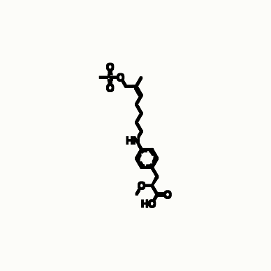 CO[C@@H](Cc1ccc(NCCCCC=C(C)COS(C)(=O)=O)cc1)C(=O)O